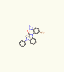 CN(c1ccccc1)c1ccccc1N(C=O)c1cc(Br)ccc1N